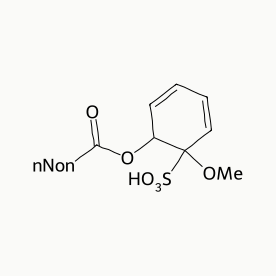 CCCCCCCCCC(=O)OC1C=CC=CC1(OC)S(=O)(=O)O